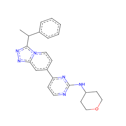 CC(c1ccccc1)c1nnc2cc(-c3ccnc(NC4CCOCC4)n3)ccn12